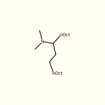 CCCCCCCCCCC(CCCCCCCC)N(C)C